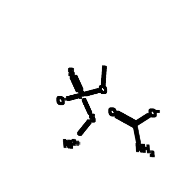 COP([O-])(=S)SC.NC(=O)[O-].[Ni+2]